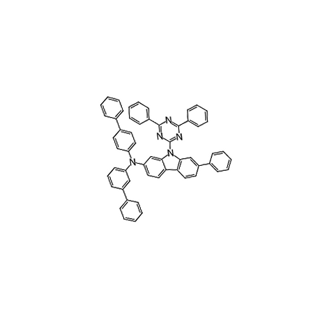 c1ccc(-c2ccc(N(c3cccc(-c4ccccc4)c3)c3ccc4c5ccc(-c6ccccc6)cc5n(-c5nc(-c6ccccc6)nc(-c6ccccc6)n5)c4c3)cc2)cc1